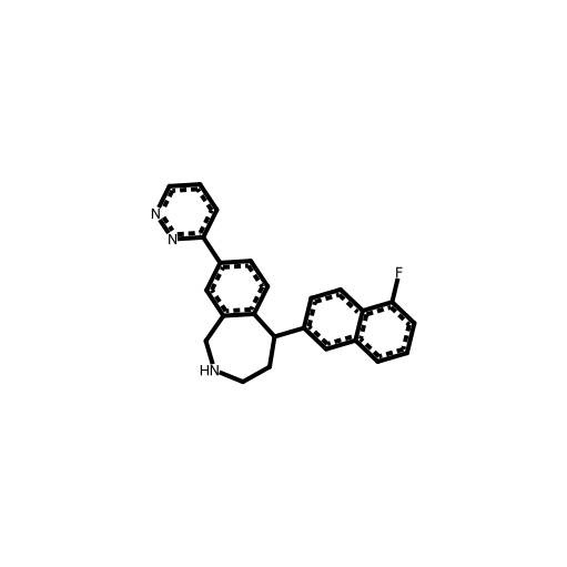 Fc1cccc2cc(C3CCNCc4cc(-c5cccnn5)ccc43)ccc12